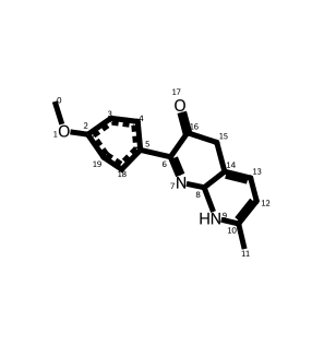 COc1ccc(C2=NC3NC(C)=CC=C3CC2=O)cc1